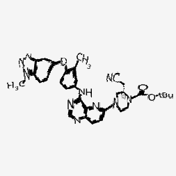 Cc1cc(Nc2ncnc3ccc(N4CCN(C(=O)OC(C)(C)C)[C@@H](CC#N)C4)nc23)ccc1Oc1ccc2c(c1)nnn2C